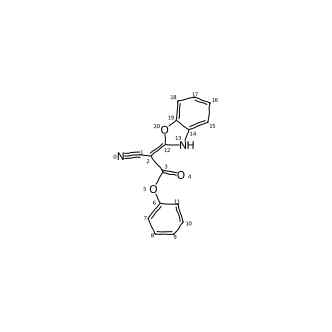 N#CC(C(=O)Oc1ccccc1)=C1Nc2ccccc2O1